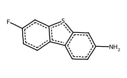 Nc1ccc2c(c1)sc1cc(F)ccc12